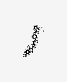 O=C(Nc1nc(CC(=O)N2CCN(CC(=O)N3CCC[C@@H]3C(F)(F)F)CC2)cs1)c1ccc(Cl)cc1